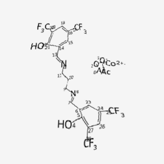 CC(=O)[O-].CC(=O)[O-].Oc1c(C=NCCCN=Cc2cc(C(F)(F)F)cc(C(F)(F)F)c2O)cc(C(F)(F)F)cc1C(F)(F)F.[Co+2]